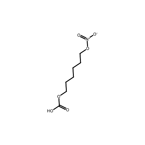 O=C(O)OCCCCCCO[N+](=O)[O-]